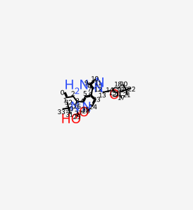 C=CCC(c1cc(-c2c(N)cnn2CCO[Si](C)(C)C(C)(C)C)ccn1)N(C(=O)O)C(C)(C)C